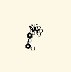 COC=C(C(=O)OC)c1c(Oc2cccc(OCc3cccc(Cl)c3)c2)nc(C)nc1SC